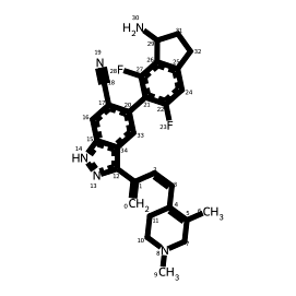 C=C(/C=C\C1=C(C)CN(C)CC1)c1n[nH]c2cc(C#N)c(-c3c(F)cc4c(c3F)C(N)CC4)cc12